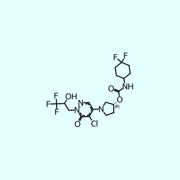 O=C(NC1CCC(F)(F)CC1)O[C@@H]1CCN(c2cnn(CC(O)C(F)(F)F)c(=O)c2Cl)C1